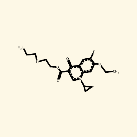 CCCOCCOC(=O)c1cn(C2CC2)c2cc(OCC)c(F)cc2c1=O